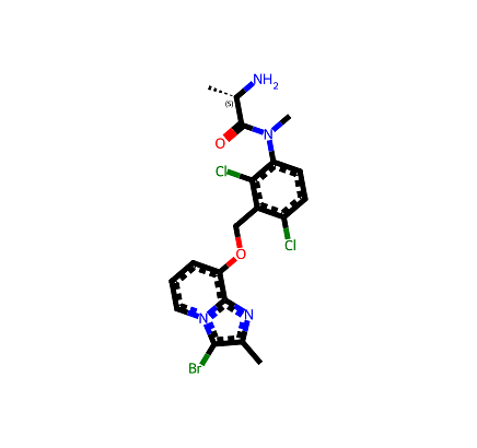 Cc1nc2c(OCc3c(Cl)ccc(N(C)C(=O)[C@H](C)N)c3Cl)cccn2c1Br